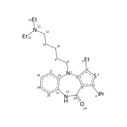 CCc1sc(C(C)C)c2c1N(CCCCCN(CC)CC)c1ccccc1NC2=O